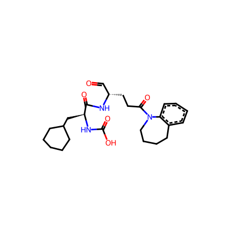 O=C[C@H](CCC(=O)N1CCCCc2ccccc21)NC(=O)[C@H](CC1CCCCC1)NC(=O)O